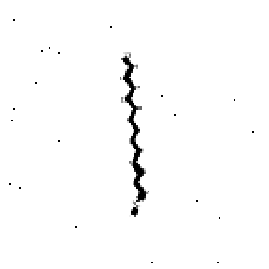 C=C=CCC=CCCCCCCCCCC